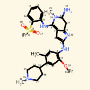 Cc1cc(NC2=CC3=C(Nc4ccccc4S(=O)(=O)C(C)C)N(C)C(N)CC3=N2)c(OC(C)C)cc1C1CCN(C)CC1